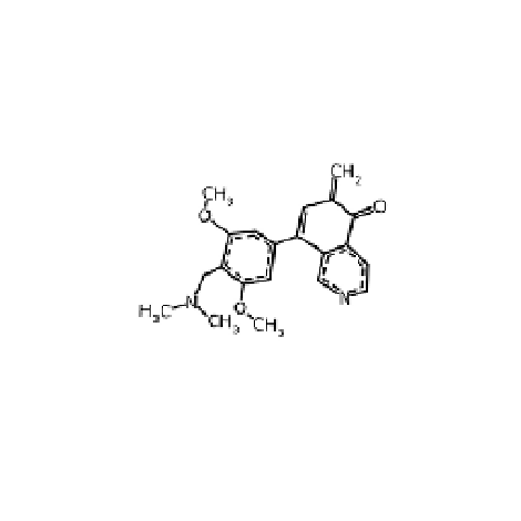 C=C1C=C(c2cc(OC)c(CN(C)C)c(OC)c2)c2cnccc2C1=O